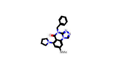 CNc1cc(N2CCCC2)c2c(=O)n(Cc3ccccc3)c3nncn3c2c1